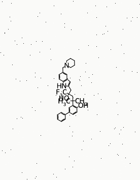 CC(C)(CC(O)(Cc1cc2cc(CN3CCCCC3)ccc2[nH]1)C(F)(F)F)c1cc(-c2ccccc2)ccc1O